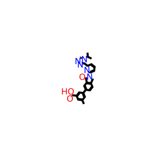 Cc1cc(C(=O)O)cc(-c2ccc3c(c2)C(=O)N(c2cccc(-c4nncn4C(C)C)n2)C3)c1